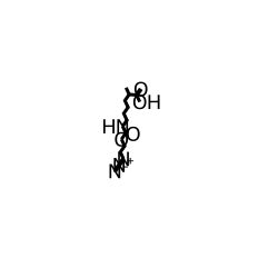 CC(CCCCNC(=O)OCCN=[N+]=[N-])C(=O)O